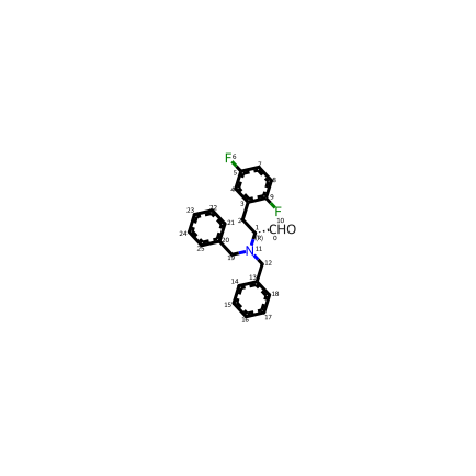 O=C[C@@H](Cc1cc(F)ccc1F)N(Cc1ccccc1)Cc1ccccc1